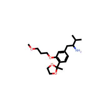 COCCCOc1cc(CC(N)C(C)C)ccc1C1(C)OCCO1